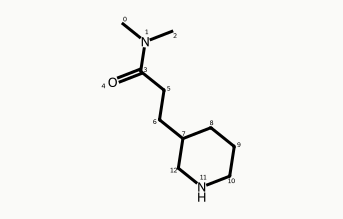 CN(C)C(=O)CCC1CCCNC1